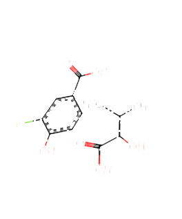 CC(C)C(O)C(=O)O.O=C(O)c1ccc(O)c(F)c1